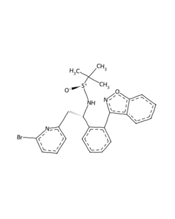 CC(C)(C)[S@+]([O-])N[C@@H](Cc1cccc(Br)n1)c1ccccc1-c1noc2ccccc12